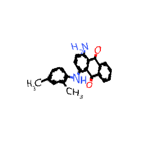 Cc1ccc(Nc2ccc(N)c3c2C(=O)c2ccccc2C3=O)c(C)c1